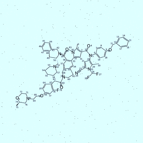 Cc1c(C(=O)N(c2ccc(OCc3ccccc3)cc2)c2cc(C#N)n(C(F)F)c2C)cc(-c2cc3c(cc2C(=O)N2Cc4ccccc4C[C@H]2CN2CCCCC2)CN(C(=O)Cc2ccc(OCCN4CCO[C@H](C)C4)cc2F)CC3)n1C